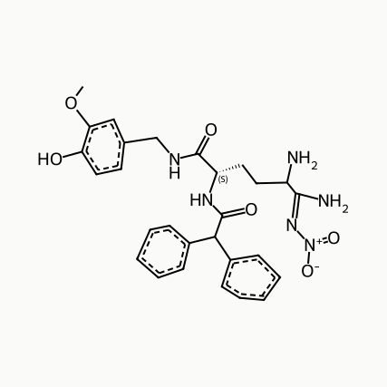 COc1cc(CNC(=O)[C@H](CCC(N)C(N)=N[N+](=O)[O-])NC(=O)C(c2ccccc2)c2ccccc2)ccc1O